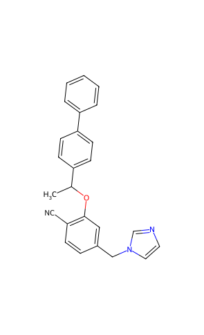 CC(Oc1cc(Cn2ccnc2)ccc1C#N)c1ccc(-c2ccccc2)cc1